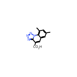 Cc1cc(C)c2c(c1)cc(C(=O)O)c1nnnn12